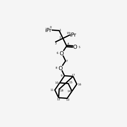 CC(C)CC(C)(C(=O)OCOC1C2CC3CC(C2)CC1C3)C(C)C